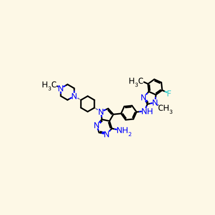 Cc1ccc(F)c2c1nc(Nc1ccc(-c3cn([C@H]4CC[C@@H](N5CCN(C)CC5)CC4)c4ncnc(N)c34)cc1)n2C